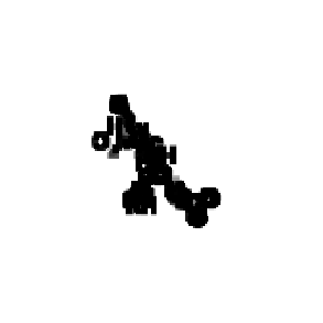 CC(C)c1ccccc1[C@H]1CCCN1C1CC2(CCN(c3ccc(C(=O)NS(=O)(=O)c4cnc(NCC5C6CCCC65)c([N+](=O)[O-])c4)c(Oc4cnc5[nH]ccc5c4)c3)CC2)C1